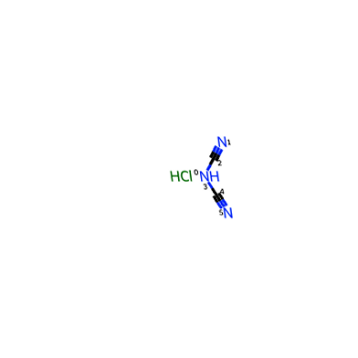 Cl.N#CNC#N